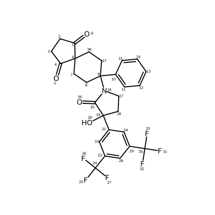 O=C1CCC(=O)C12CCC(c1ccccc1)(N1CCC(O)(c3cc(C(F)(F)F)cc(C(F)(F)F)c3)C1=O)CC2